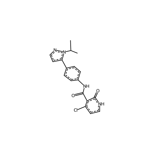 CC(C)n1nccc1-c1ccc(NC(=O)c2c(Cl)cc[nH]c2=O)cc1